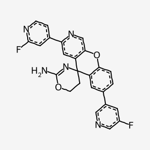 NC1=NC2(CCO1)c1cc(-c3cncc(F)c3)ccc1Oc1cnc(-c3ccnc(F)c3)cc12